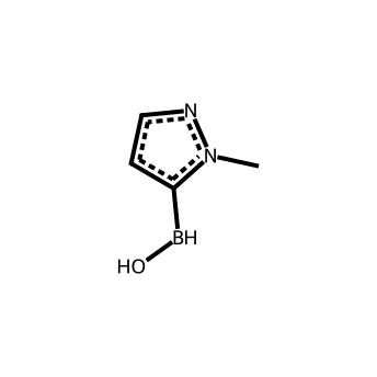 Cn1nccc1BO